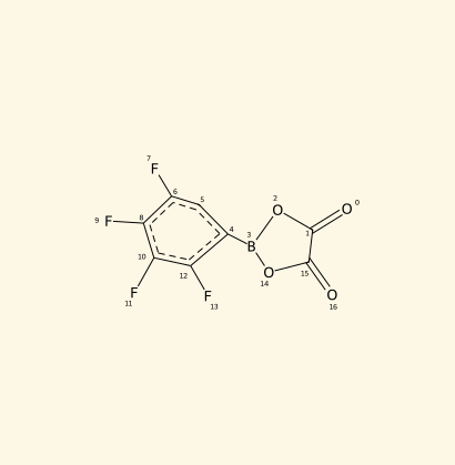 O=C1OB(c2cc(F)c(F)c(F)c2F)OC1=O